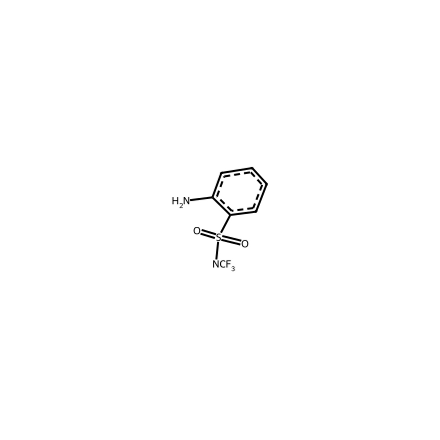 Nc1ccccc1S(=O)(=O)NC(F)(F)F